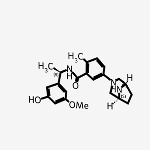 COc1cc(O)cc([C@@H](C)NC(=O)c2cc(N3C[C@H]4CC[C@@H](C3)N4)ccc2C)c1